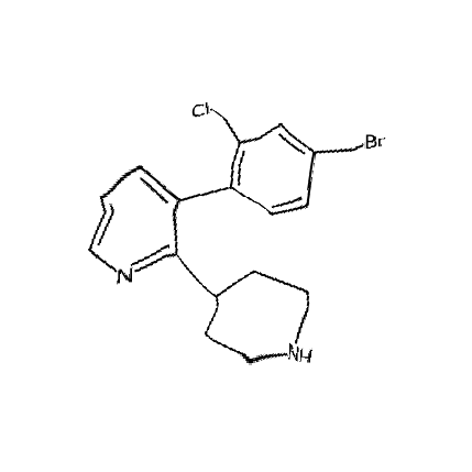 Clc1cc(Br)ccc1-c1cccnc1C1CCNCC1